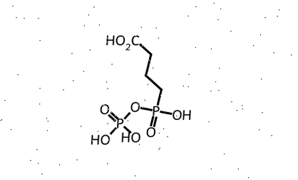 O=C(O)CCCP(=O)(O)OP(=O)(O)O